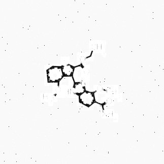 CCOC(=O)c1sc2cccc(OC)c2c1-c1nc2c(OC)c(C(N)=O)ccc2[nH]1